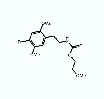 COCCOC(=O)NCCc1cc(OC)c(Br)cc1OC